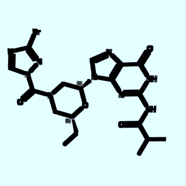 CC[C@@H]1CN(C(=O)n2cnc(Br)n2)C[C@H](n2cnc3c(=O)[nH]c(NC(=O)C(C)C)nc32)O1